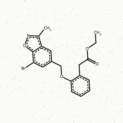 CCOC(=O)Cc1ccccc1OCc1cc(Br)c2onc(C)c2c1